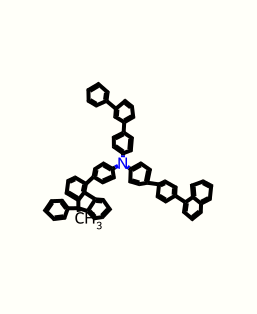 CC1(c2ccccc2)c2ccccc2-c2c(-c3ccc(N(c4ccc(-c5ccc(-c6cccc7ccccc67)cc5)cc4)c4ccc(-c5cccc(-c6ccccc6)c5)cc4)cc3)cccc21